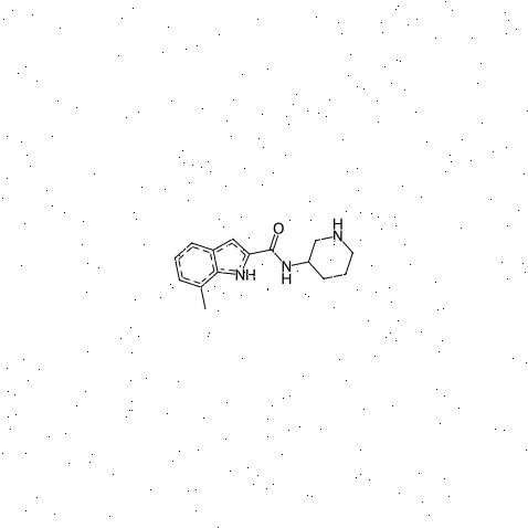 Cc1cccc2cc(C(=O)NC3CCCNC3)[nH]c12